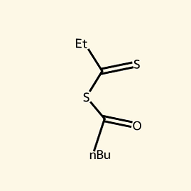 CCCCC(=O)SC(=S)CC